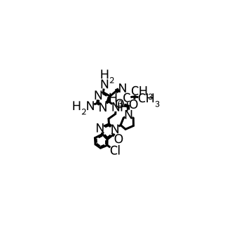 CC(C)(C)OC(=O)N1CCCC(n2c(CCNc3nc(N)nc(N)c3C#N)nc3cccc(Cl)c3c2=O)C1